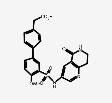 COc1ccc(-c2ccc(CC(=O)O)cc2)cc1S(=O)(=O)Nc1cnc2c(c1)C(=O)NCC2